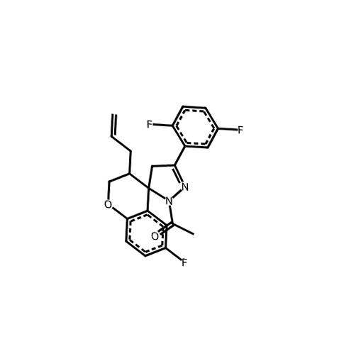 C=CCC1COc2ccc(F)cc2C12CC(c1cc(F)ccc1F)=NN2C(C)=O